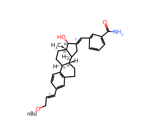 CCCCOC/C=C/c1ccc2c(c1)CC[C@@H]1[C@@H]2CC[C@]2(C)[C@@H](O)/C(=C/c3cccc(C(N)=O)c3)C[C@@H]12